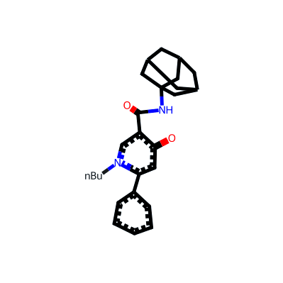 CCCCn1cc(C(=O)NC23CC4CC(CC(C4)C2)C3)c(=O)cc1-c1ccccc1